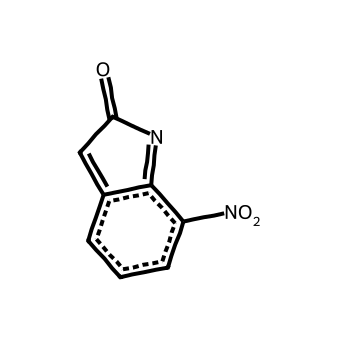 O=C1C=c2cccc([N+](=O)[O-])c2=N1